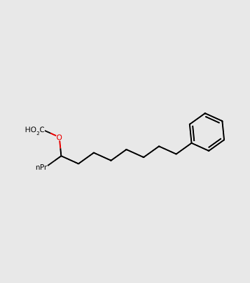 CCCC(CCCCCCCc1ccccc1)OC(=O)O